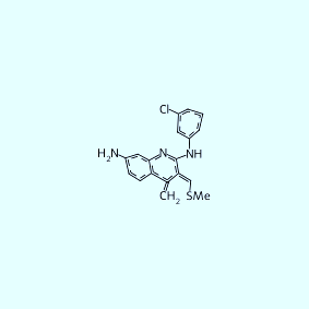 C=c1/c(=C\SC)c(Nc2cccc(Cl)c2)nc2cc(N)ccc12